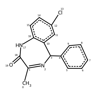 CC1=NC(c2ccccc2)c2cc(Cl)ccc2NC1=O